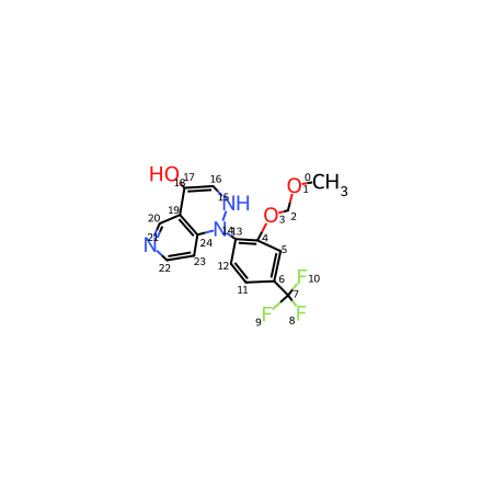 COCOc1cc(C(F)(F)F)ccc1N1NC=C(O)c2cnccc21